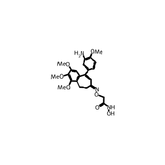 COc1ccc(C2=CC(=NOCC(=O)NO)CCc3c2cc(OC)c(OC)c3OC)cc1N